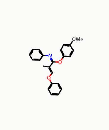 COc1ccc(OC(=Nc2ccccc2)C(C)=COc2ccccc2)cc1